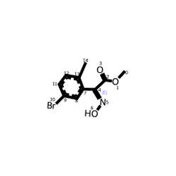 COC(=O)/C(=N/O)c1cc(Br)ccc1C